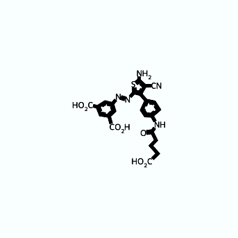 N#Cc1c(N)sc(N=Nc2cc(C(=O)O)cc(C(=O)O)c2)c1-c1ccc(NC(=O)CCCC(=O)O)cc1